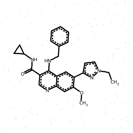 CCn1ccc(-c2cc3c(NCc4ccccc4)c(C(=O)NC4CC4)cnc3cc2OC)n1